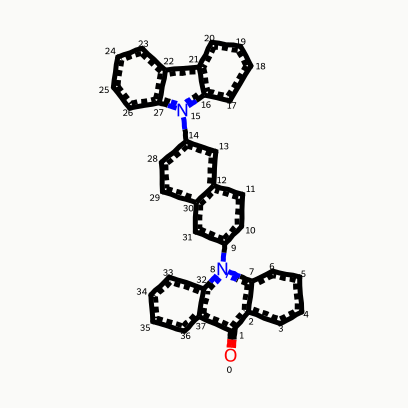 O=c1c2ccccc2n(-c2ccc3cc(-n4c5ccccc5c5ccccc54)ccc3c2)c2ccccc12